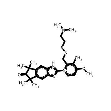 COc1cc[n+](-c2nc3cc4c(cc3[nH]2)C(C)(C)C(=O)C4(C)C)c(CSSCCN(C)C)c1C